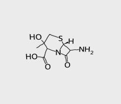 CC1(O)CS[C@@H]2C(N)C(=O)N2C1C(=O)O